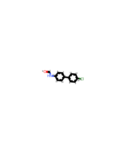 O=CNc1ccc(-c2ccc(Cl)cc2)cc1